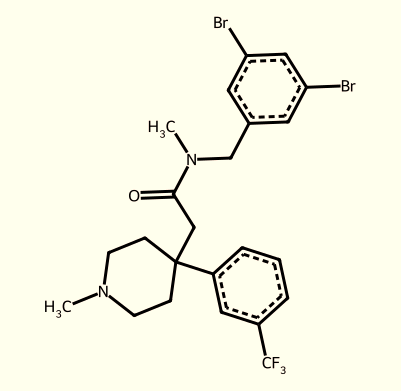 CN1CCC(CC(=O)N(C)Cc2cc(Br)cc(Br)c2)(c2cccc(C(F)(F)F)c2)CC1